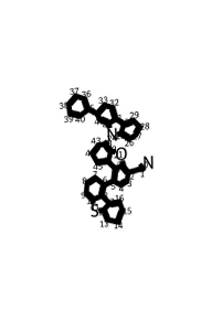 N#Cc1ccc(-c2cccc3sc4ccccc4c23)c2c1oc1c(-n3c4ccccc4c4ccc(-c5ccccc5)cc43)cccc12